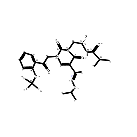 C/C(=N\OC(C)C)c1cn(CC(=O)c2ccccc2OC(F)(F)F)c(=O)n(C[C@H](C)NC(=O)C(C)C)c1=O